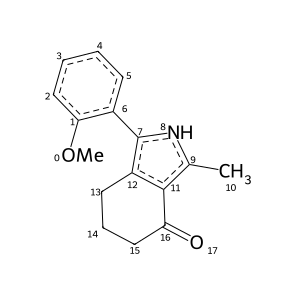 COc1ccccc1-c1[nH]c(C)c2c1CCCC2=O